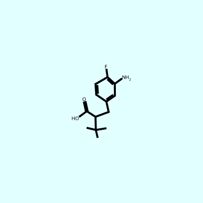 CC(C)(C)C(Cc1ccc(F)c(N)c1)C(=O)O